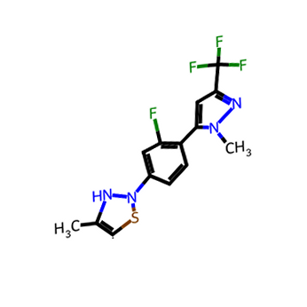 CC1=[C]SN(c2ccc(-c3cc(C(F)(F)F)nn3C)c(F)c2)N1